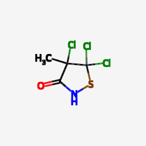 CC1(Cl)C(=O)NSC1(Cl)Cl